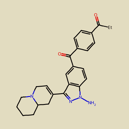 CCC(=O)c1ccc(C(=O)c2ccc3c(c2)c(C2=CCN4CCCCC4C2)nn3N)cc1